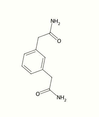 NC(=O)Cc1cccc(CC(N)=O)c1